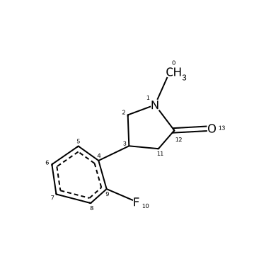 CN1CC(c2ccccc2F)CC1=O